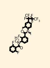 CN(C(=O)c1c(F)cccc1F)c1cccc(C(=O)N(I)c2ccc(C(F)(C(F)(F)F)C(F)(F)C(F)(F)F)cc2I)c1F